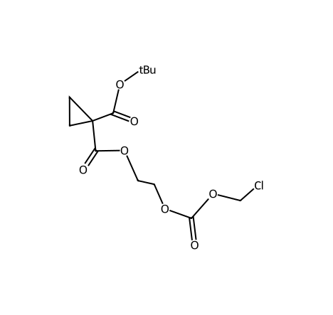 CC(C)(C)OC(=O)C1(C(=O)OCCOC(=O)OCCl)CC1